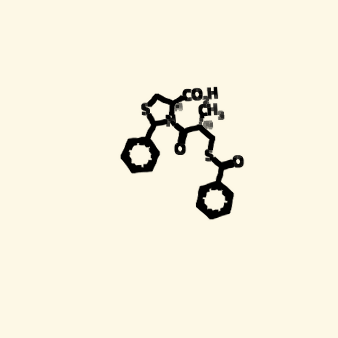 C[C@H](CSC(=O)c1ccccc1)C(=O)N1C(c2ccccc2)SC[C@H]1C(=O)O